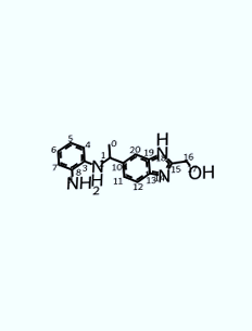 CC(Nc1ccccc1N)c1ccc2nc(CO)[nH]c2c1